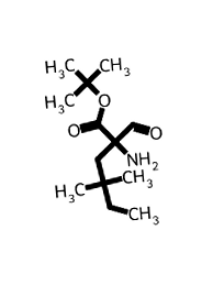 CCC(C)(C)CC(N)(C=O)C(=O)OC(C)(C)C